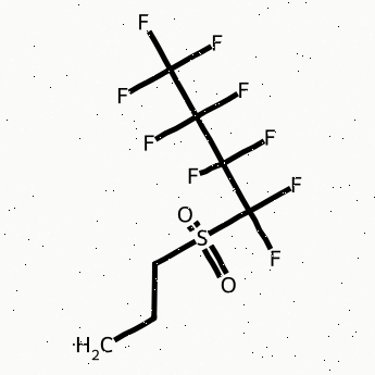 [CH2]CCS(=O)(=O)C(F)(F)C(F)(F)C(F)(F)C(F)(F)F